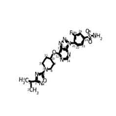 CC(C)c1noc(N2CCC(Oc3ncnc4c3nnn4-c3ccc(S(N)(=O)=O)cc3F)CC2)n1